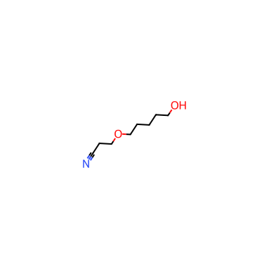 N#CCCOCCCCCO